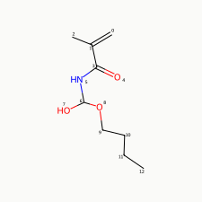 C=C(C)C(=O)NC(O)OCCCC